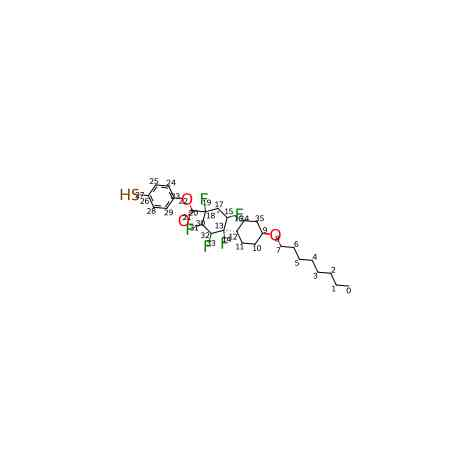 CCCCCCCCO[C@H]1CC[C@H](C2(F)C(F)[CH]C(F)(C(=O)Oc3ccc(S)cc3)C(F)C2F)CC1